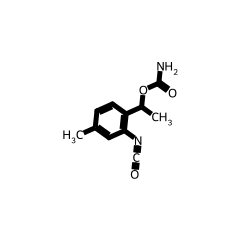 Cc1ccc(C(C)OC(N)=O)c(N=C=O)c1